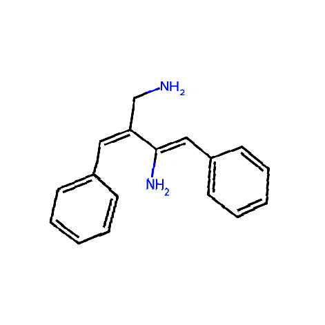 NCC(=Cc1ccccc1)C(N)=Cc1ccccc1